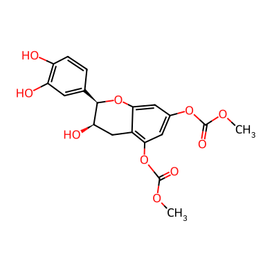 COC(=O)Oc1cc(OC(=O)OC)c2c(c1)O[C@H](c1ccc(O)c(O)c1)[C@H](O)C2